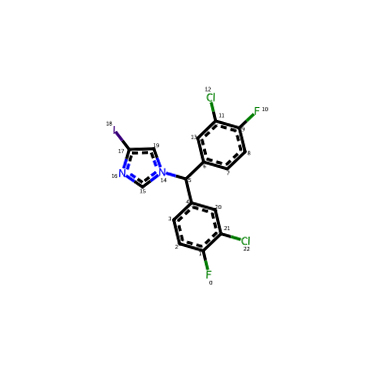 Fc1ccc(C(c2ccc(F)c(Cl)c2)n2cnc(I)c2)cc1Cl